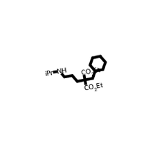 CCOC(=O)C(CCCNC(C)C)(CC1CCCCC1)C(=O)OCC